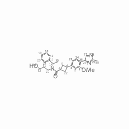 COc1cc(C2CC(C(=O)N(CCCO)C(C)c3ccccc3)C2)ccc1C1C=NC(C)=N1